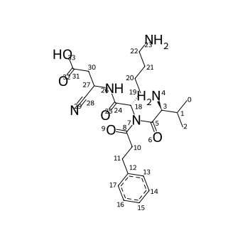 CC(C)[C@H](N)C(=O)N(C(=O)CCc1ccccc1)[C@@H](CCCCN)C(=O)NC(C#N)CC(=O)O